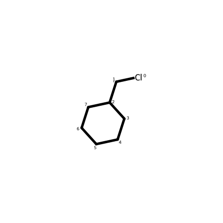 Cl[CH]C1CCCCC1